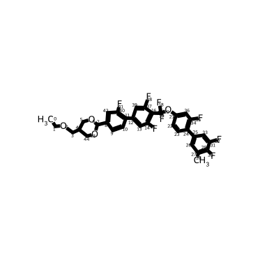 CCOCC1COC(c2ccc(-c3cc(F)c(C(F)(F)Oc4ccc(-c5cc(C)c(F)c(F)c5)c(F)c4)c(F)c3)c(F)c2)OC1